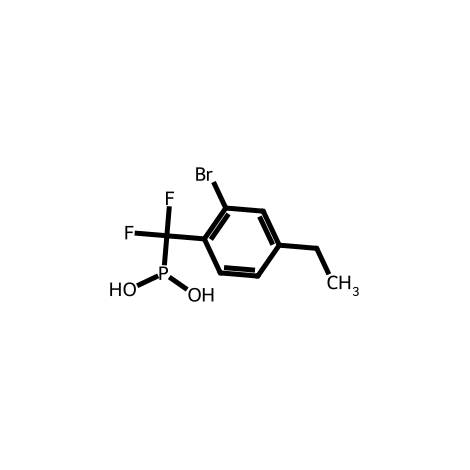 CCc1ccc(C(F)(F)P(O)O)c(Br)c1